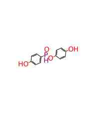 O=[PH](Oc1ccc(O)cc1)c1ccc(O)cc1